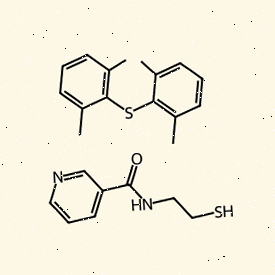 Cc1cccc(C)c1Sc1c(C)cccc1C.O=C(NCCS)c1cccnc1